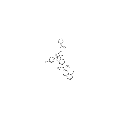 O=C(CN1CCC(c2ccc(C(OCc3c(F)cccc3F)(C(F)(F)F)C(F)(F)F)cc2)(S(=O)(=O)c2ccc(F)cc2)C1)N1CCCC1